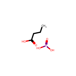 CCCC(=O)O.O=[P](O)O